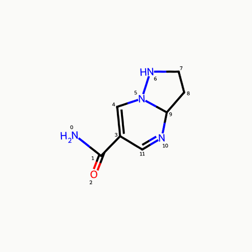 NC(=O)C1=CN2NCCC2N=C1